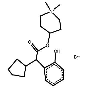 C[N+]1(C)CCC(OC(=O)C(c2ccccc2O)C2CCCC2)CC1.[Br-]